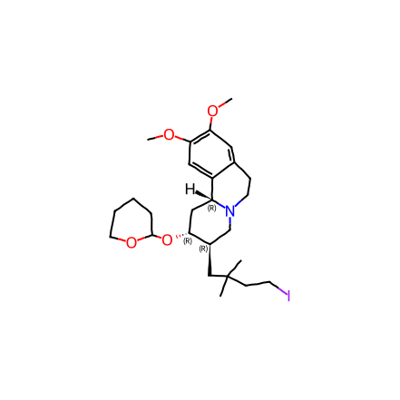 COc1cc2c(cc1OC)[C@H]1C[C@@H](OC3CCCCO3)[C@H](CC(C)(C)CCI)CN1CC2